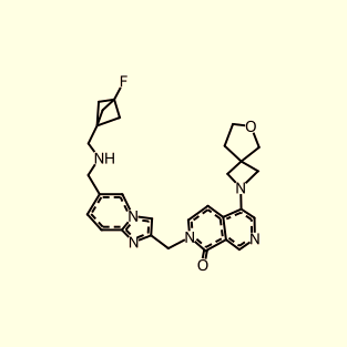 O=c1c2cncc(N3CC4(CCOC4)C3)c2ccn1Cc1cn2cc(CNCC34CC(F)(C3)C4)ccc2n1